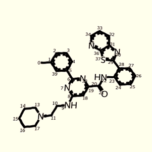 Cc1cccc(-c2nc(NCCN3CCCCC3)cc(C(=O)Nc3ccccc3-c3nc4cccnc4s3)n2)c1